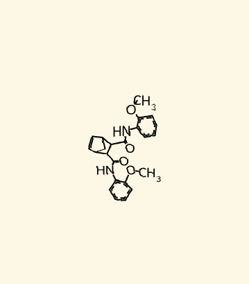 COc1ccccc1NC(=O)C1C2C=CC(C2)C1C(=O)Nc1ccccc1OC